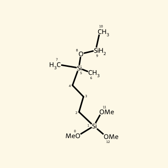 CO[Si](CCC[Si](C)(C)O[SiH2]C)(OC)OC